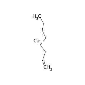 C=CCCCCCC.[Cu]